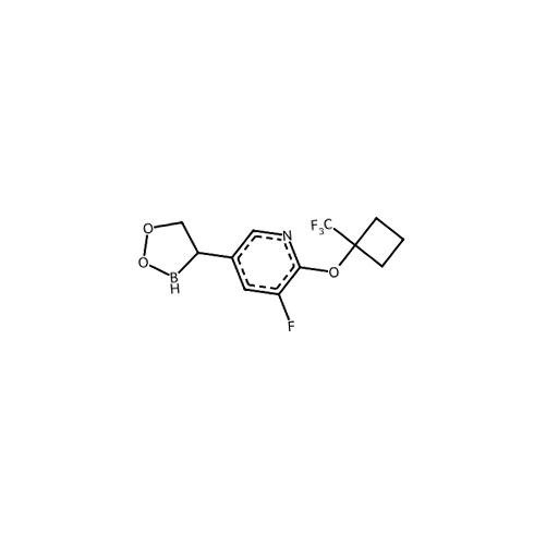 Fc1cc(C2BOOC2)cnc1OC1(C(F)(F)F)CCC1